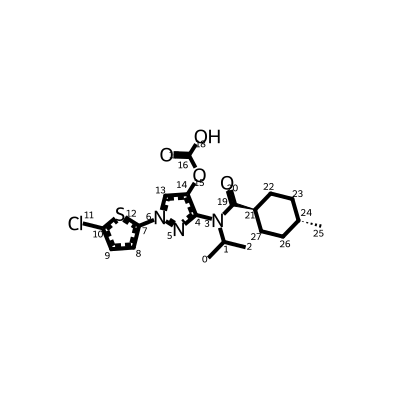 CC(C)N(c1nn(-c2ccc(Cl)s2)cc1OC(=O)O)C(=O)[C@H]1CC[C@H](C)CC1